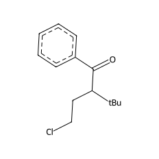 CC(C)(C)C(CCCl)C(=O)c1ccccc1